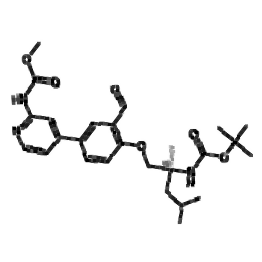 COC(=O)Nc1cc(-c2ccc(OC[C@](C)(CC(C)C)NC(=O)OC(C)(C)C)c(C=O)c2)ccn1